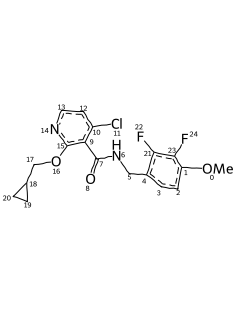 COc1ccc(CNC(=O)c2c(Cl)ccnc2OCC2CC2)c(F)c1F